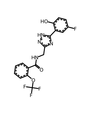 O=C(NCc1n[nH]c(-c2cc(F)ccc2O)n1)c1ccccc1OC(F)(F)F